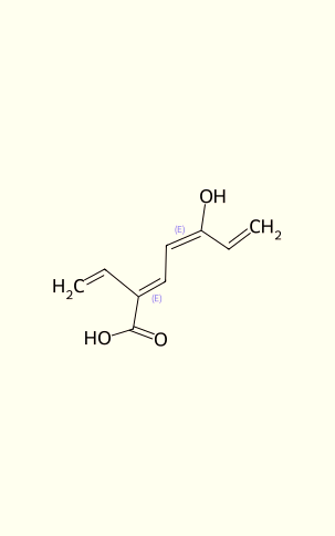 C=C/C(O)=C\C=C(/C=C)C(=O)O